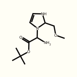 COCC1NC=CN1C(N)C(=O)OC(C)(C)C